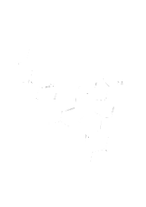 CC1CN(c2ccc(-c3c(F)cc(N4CCN(C)C(C)C4)c(-c4c(F)ccc(C(N)=O)c4C(F)(F)F)c3F)cn2)CCO1